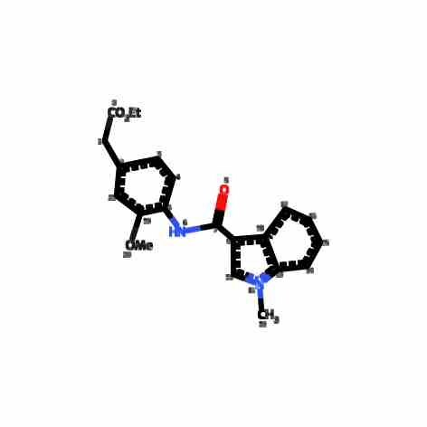 CCOC(=O)Cc1ccc(NC(=O)c2cn(C)c3ccccc23)c(OC)c1